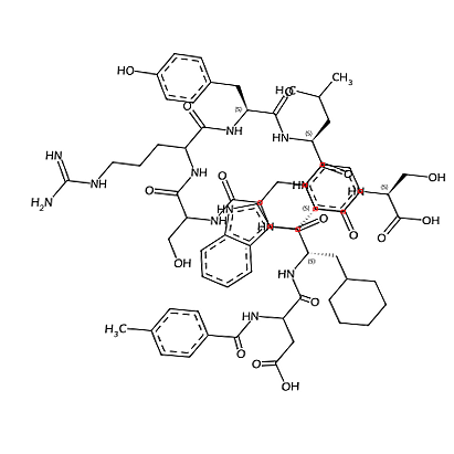 Cc1ccc(C(=O)NC(CC(=O)O)C(=O)N[C@@H](CC2CCCCC2)C(=O)NC(Cc2ccccc2)C(=O)NC(CO)C(=O)NC(CCCNC(=N)N)C(=O)N[C@@H](Cc2ccc(O)cc2)C(=O)N[C@@H](CC(C)C)C(=O)N[C@@H](Cc2c[nH]c3ccccc23)C(=O)N[C@@H](CO)C(=O)O)cc1